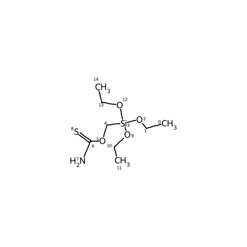 CCO[Si](COC(N)=S)(OCC)OCC